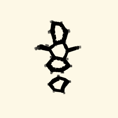 C1=CCC=C1.O=C1c2ccccc2C(=O)c2ccccc21